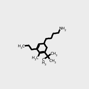 CCCC1=CC(CCCCN)CC(C(C)(C)C)=C1C